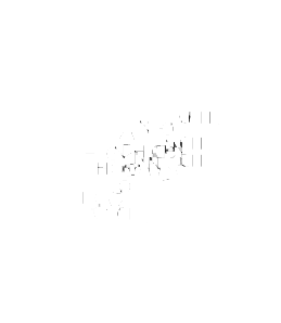 COCCOC1CCN(Cc2ccc3c(c2)c(N2CC(C)n4c(c(CCCOc5cc(C)c(Cl)c(C)c5)c5ccc(Cl)c(-c6c(C)nn(C)c6C)c54)C2=O)c(C(=O)O)n3C)CC1